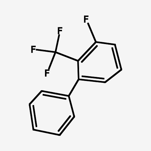 Fc1cccc(-c2ccccc2)c1C(F)(F)F